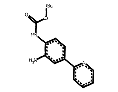 CC(C)(C)OC(=O)Nc1ccc(-c2ccccn2)cc1N